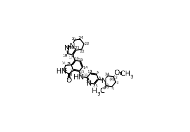 CO[C@@H]1CC[C@@H](C)N(c2ccc(Nc3ccc(-c4cnn5c4CCCC5)c4c3C(=O)NC4)nc2)C1